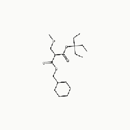 CCC(CC)(CC)OC(=O)C(COC)C(=O)OCC1CCCCC1